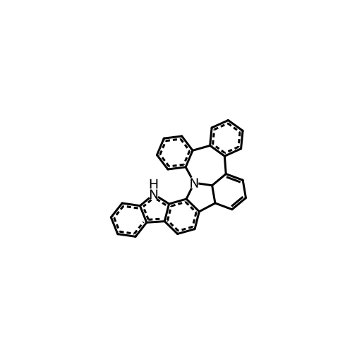 C1=CC2c3ccc4c([nH]c5ccccc54)c3N3c4ccccc4-c4ccccc4C(=C1)C23